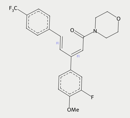 COc1ccc(C(/C=C/c2ccc(C(F)(F)F)cc2)=C/C(=O)N2CCOCC2)cc1F